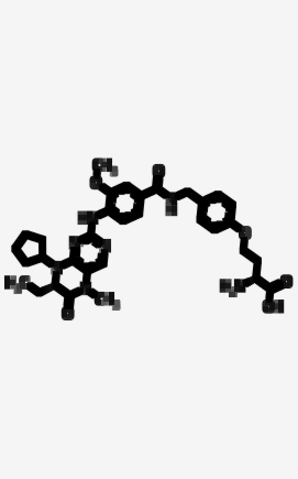 CC[C@@H]1C(=O)N(C)c2cnc(Nc3ccc(C(=O)NCc4ccc(OCC[C@H](N)C(=O)O)cc4)cc3OC)nc2N1C1CCCC1